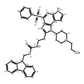 N#CCCN1CCC(n2c(CCNC(=O)OCC3c4ccccc4-c4ccccc43)nc3c(S(=O)(=O)c4ccccc4)nc4[nH]ccc4c32)CC1